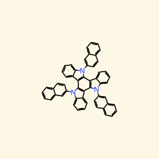 c1ccc2cc(-n3c4ccccc4c4c3c3c5ccccc5n(-c5ccc6ccccc6c5)c3c3c5ccccc5n(-c5ccc6ccccc6c5)c43)ccc2c1